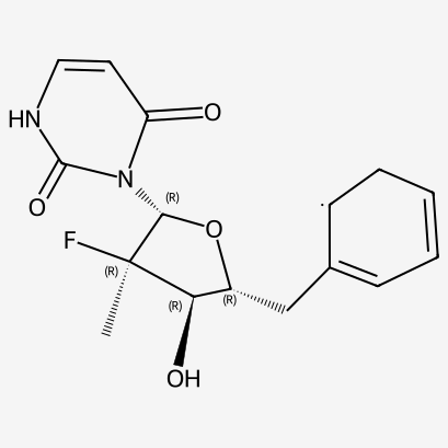 C[C@@]1(F)[C@H](O)[C@@H](CC2=CC=CC[CH]2)O[C@H]1n1c(=O)cc[nH]c1=O